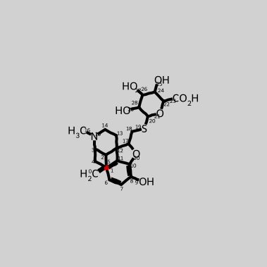 C=CC1C2Cc3ccc(O)c4c3C1(CCN2C)C(CSC1OC(C(=O)O)C(O)C(O)C1O)O4